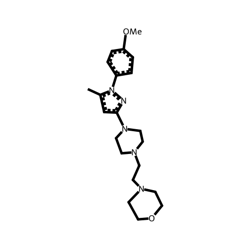 COc1ccc(-n2nc(N3CCN(CCN4CCOCC4)CC3)cc2C)cc1